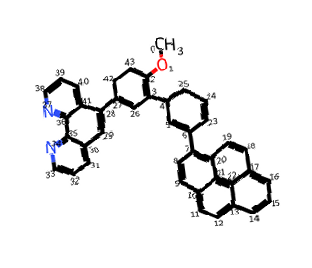 COC1=C(C2C=C(c3ccc4ccc5cccc6ccc3c4c56)C=CC2)C=C(c2cc3cccnc3c3ncccc23)CC1